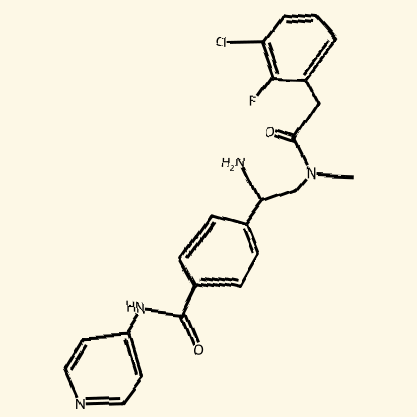 CN(CC(N)c1ccc(C(=O)Nc2ccncc2)cc1)C(=O)Cc1cccc(Cl)c1F